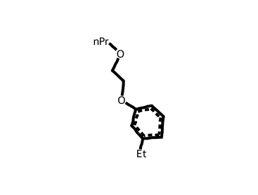 CCCOCCOc1cccc(CC)c1